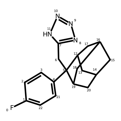 Fc1ccc(C2(Cc3nnn[nH]3)C3CC4CC(C3)CC2C4)cc1